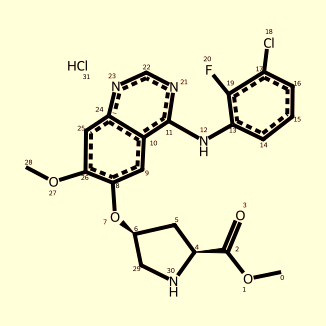 COC(=O)[C@@H]1C[C@H](Oc2cc3c(Nc4cccc(Cl)c4F)ncnc3cc2OC)CN1.Cl